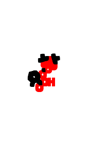 Cc1cccc(OCOP(=O)(OC(C)(C)C)OC(C)(C)C)c1C(=O)O